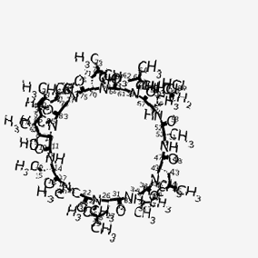 C=C.CC=CC[C@@H](C)[C@@H](O)[C@H]1C(=O)N[C@@H](CC)C(=O)N(C)CC(=O)N(C)[C@@H](CC(C)C)C(=O)N[C@@H](C(C)C)C(=O)N(C)[C@@H](CC(C)C)C(=O)N[C@@H](C)C(=O)N[C@H](C)C(=O)N(C)[C@@H](CC(C)C)C(=O)N(C)[C@@H](CC(C)C)C(=O)N(C)[C@@H](C(C)C)C(=O)N1C.Cl.Cl